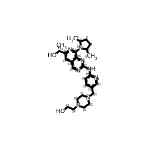 CC1CCC(C)N1c1nc([C@@H](C)O)cc2cnc(Nc3ccc(CN4CCN(CCO)CC4)cn3)nc12